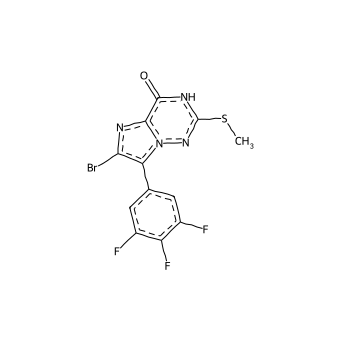 CSc1nn2c(-c3cc(F)c(F)c(F)c3)c(Br)nc2c(=O)[nH]1